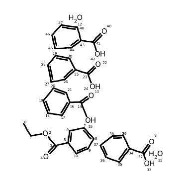 CCOC(=O)c1ccccc1.O.O.O=C(O)c1ccccc1.O=C(O)c1ccccc1.O=C(O)c1ccccc1.O=C(O)c1ccccc1